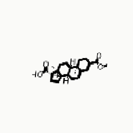 COC(=O)C1=CC2=CC[C@H]3[C@@H]4CC[C@H](C(=O)O)[C@@]4(C)CC[C@@H]3[C@@]2(C)CC1